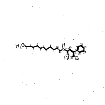 CCCCCCCCCCCCNC(=O)C=C(C(=O)O)c1ccccc1